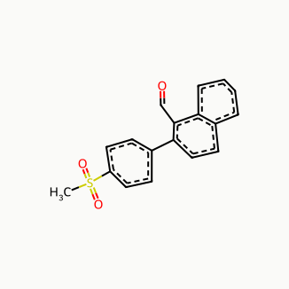 CS(=O)(=O)c1ccc(-c2ccc3ccccc3c2C=O)cc1